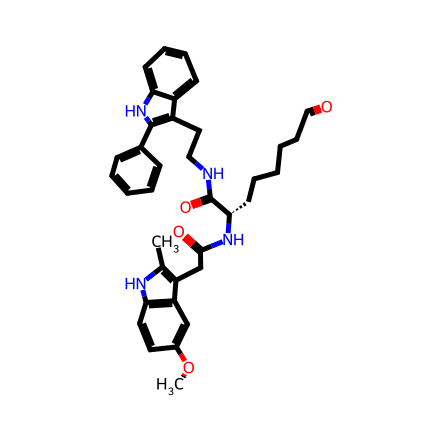 COc1ccc2[nH]c(C)c(CC(=O)N[C@@H](CCCCCC=O)C(=O)NCCc3c(-c4ccccc4)[nH]c4ccccc34)c2c1